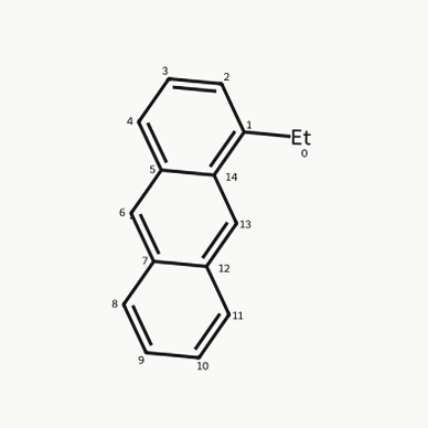 CCc1cccc2[c]c3ccccc3cc12